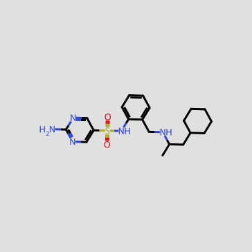 CC(CC1CCCCC1)NCc1ccccc1NS(=O)(=O)c1cnc(N)nc1